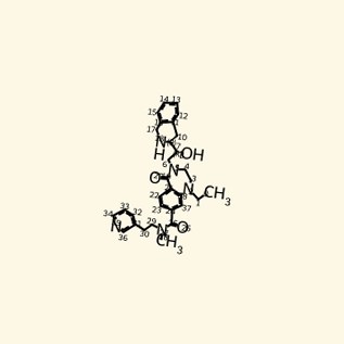 CCN1CCN(C[C@@H](O)[C@@H]2Cc3ccccc3CN2)C(=O)c2ccc(C(=O)N(C)CCc3cccnc3)cc21